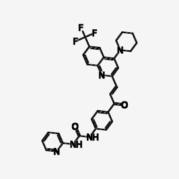 O=C(Nc1ccc(C(=O)/C=C/c2cc(N3CCCCC3)c3cc(C(F)(F)F)ccc3n2)cc1)Nc1ccccn1